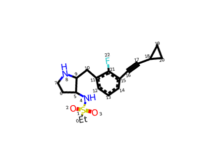 CCS(=O)(=O)NC1CCNC1Cc1cccc(C#CC2CC2)c1F